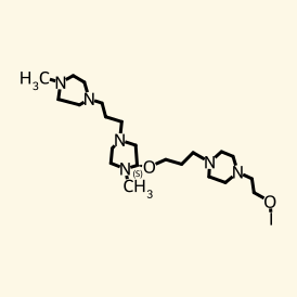 CN1CCN(CCCN2CCN(C)[C@@H](OCCCN3CCN(CCOI)CC3)C2)CC1